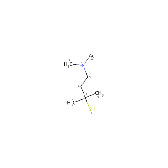 CC(=O)N(C)CCC(C)(C)S